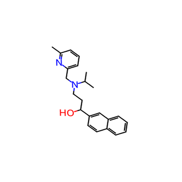 Cc1cccc(CN(CCC(O)c2ccc3ccccc3c2)C(C)C)n1